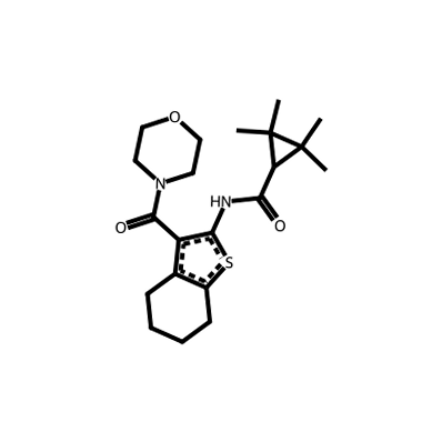 CC1(C)C(C(=O)Nc2sc3c(c2C(=O)N2CCOCC2)CCCC3)C1(C)C